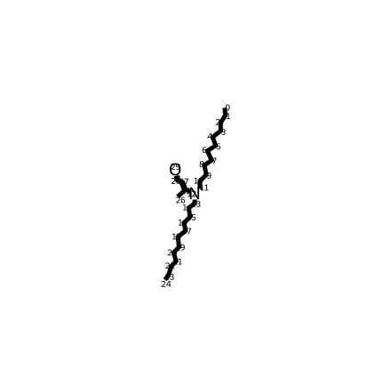 CCCCCCCCCCCCN(CCCCCCCCCCCC)C(C)=CC=O